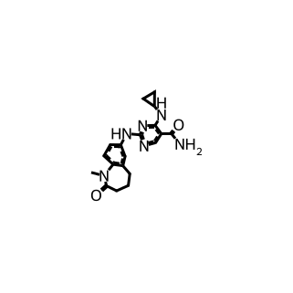 CN1C(=O)CCCc2cc(Nc3ncc(C(N)=O)c(NC4CC4)n3)ccc21